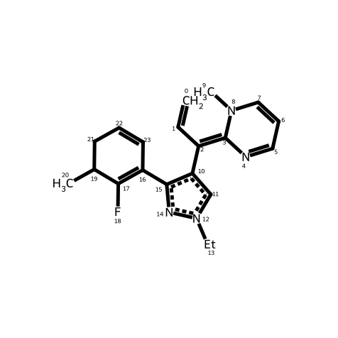 C=C/C(=C1/N=CC=CN1C)c1cn(CC)nc1C1=C(F)C(C)CC=C1